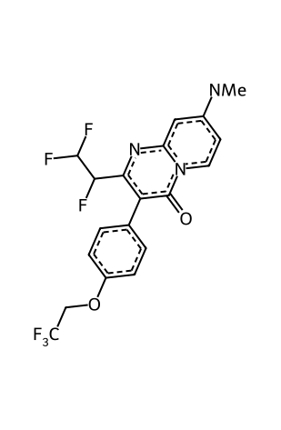 CNc1ccn2c(=O)c(-c3ccc(OCC(F)(F)F)cc3)c(C(F)C(F)F)nc2c1